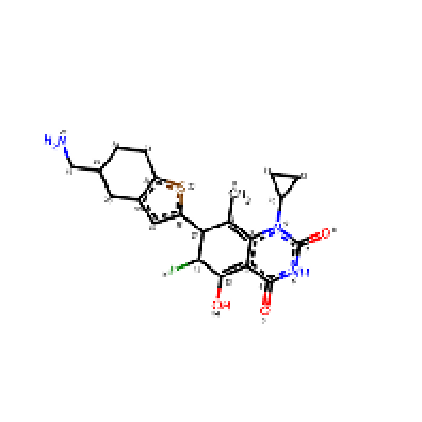 CC1=c2c(c(=O)[nH]c(=O)n2C2CC2)=C(O)C(F)C1c1cc2c(s1)CCC(CN)C2